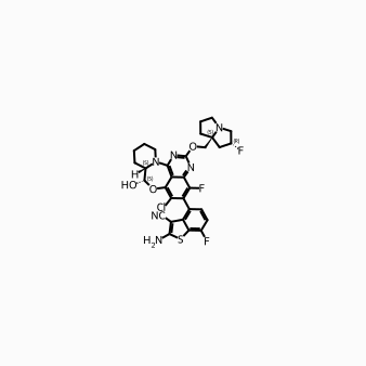 N#Cc1c(N)sc2c(F)ccc(-c3c(Cl)c4c5c(nc(OC[C@@]67CCCN6C[C@H](F)C7)nc5c3F)N3CCCC[C@H]3[C@@H](O)O4)c12